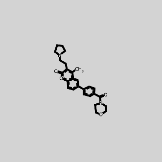 Cc1c(CCN2CCCC2)c(=O)oc2ccc(-c3ccc(C(=O)N4CCOCC4)cc3)cc12